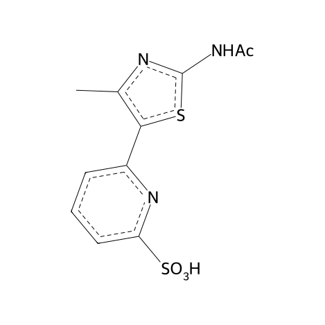 CC(=O)Nc1nc(C)c(-c2cccc(S(=O)(=O)O)n2)s1